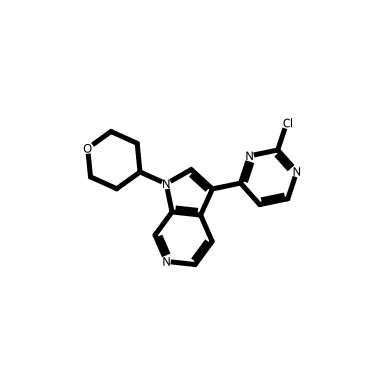 Clc1nccc(-c2cn(C3CCOCC3)c3cnccc23)n1